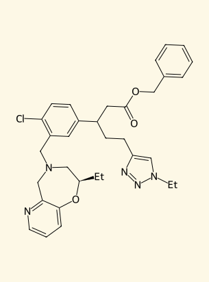 CC[C@@H]1CN(Cc2cc(C(CCc3cn(CC)nn3)CC(=O)OCc3ccccc3)ccc2Cl)Cc2ncccc2O1